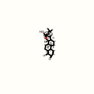 CC1(C)O[C@@H]2C[C@H]3[C@@H]4CCC5=C(F)C(=O)C=C[C@]5(C)[C@@]4(F)CC[C@]3(C)[C@]2(C(=O)C(O)O)O1